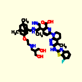 C/C(NCC12CC3(C)CC(C)(C1)CC(OCCNCC(CO)CO)(C3)C2)=C(/C=N)c1ccc(N2CCCc3c2nnc(Nc2nc4cccc(F)c4s2)c3C)nc1C(=O)O